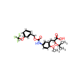 COc1ccc(NC(=O)OCc2cccc(OC(F)(F)F)c2)cc1CC(OC(C)C)C(=O)O